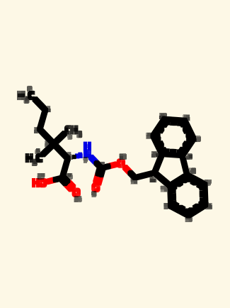 CCCC(C)(C)[C@H](NC(=O)OCC1c2ccccc2-c2ccccc21)C(=O)O